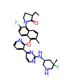 CCC1CCN(c2c(F)ccc3c(Oc4ncccc4-c4ccnc(N[C@@H]5CNC[C@@](C)(F)C5)n4)c(C)ccc23)C1=O